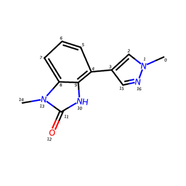 Cn1cc(-c2cccc3c2[nH]c(=O)n3C)cn1